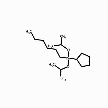 CCCCCC[Si](OC(C)C)(OC(C)C)C1CCCC1